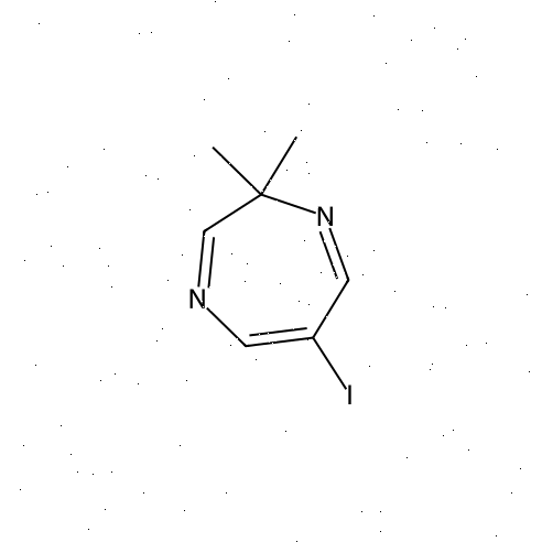 CC1(C)C=NC=C(I)C=N1